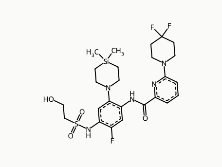 C[Si]1(C)CCN(c2cc(NS(=O)(=O)CCO)c(F)cc2NC(=O)c2cccc(N3CCC(F)(F)CC3)n2)CC1